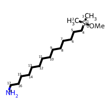 CO[Si](C)(C)CCCCCCCCCCCCCCN